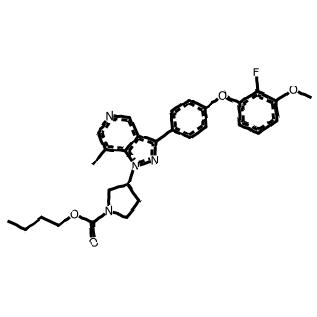 CCCCOC(=O)N1CCC(n2nc(-c3ccc(Oc4cccc(OC)c4F)cc3)c3cncc(C)c32)C1